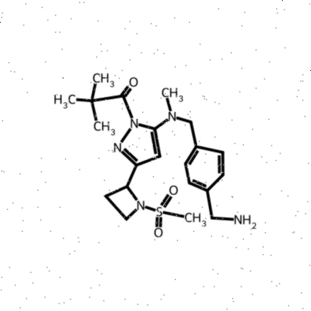 CN(Cc1ccc(CN)cc1)c1cc(C2CCN2S(C)(=O)=O)nn1C(=O)C(C)(C)C